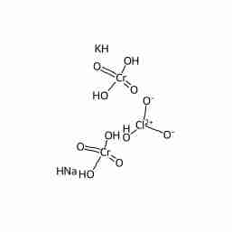 [KH].[NaH].[O-][Cl+2]([O-])O.[O]=[Cr](=[O])([OH])[OH].[O]=[Cr](=[O])([OH])[OH]